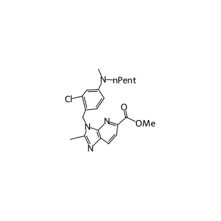 CCCCCN(C)c1ccc(Cn2c(C)nc3ccc(C(=O)OC)nc32)c(Cl)c1